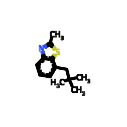 Cc1nc2cccc(CC(C)(C)C)c2s1